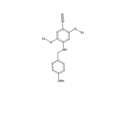 CCOc1cc(NCc2ccc(OC)cc2)c(OCC)cc1[N+]#N